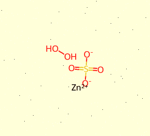 O=S(=O)([O-])[O-].OO.[Zn+2]